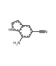 N#Cc1cc(N)c2[nH]ccc2c1